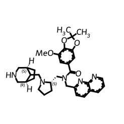 COc1cc(C(=O)N(Cc2ccc3cccnc3n2)C[C@@H]2CCCN2CC2[C@@H]3CC[C@H]2CNC3)cc2c1OC(C)(C)O2